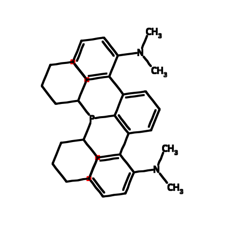 CN(C)c1ccccc1-c1cccc(-c2ccccc2N(C)C)c1P(C1CCCCC1)C1CCCCC1